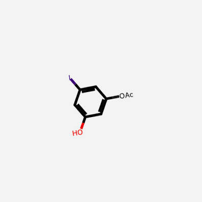 CC(=O)Oc1cc(O)cc(I)c1